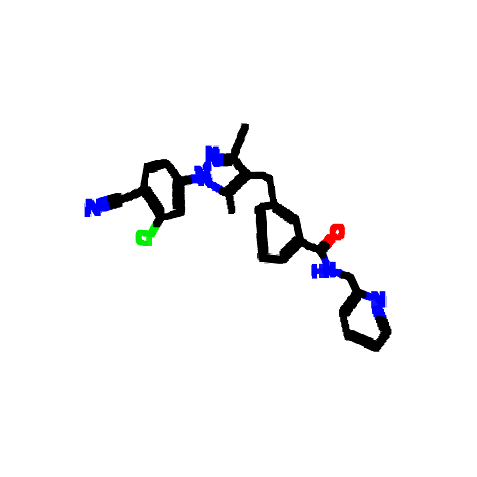 Cc1nn(-c2ccc(C#N)c(Cl)c2)c(C)c1Cc1cccc(C(=O)NCc2ccccn2)c1